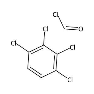 Clc1ccc(Cl)c(Cl)c1Cl.O=CCl